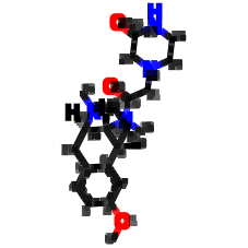 COc1ccc2c(c1)[C@@]1(C)CCN(C)[C@H](C2)[C@@H]1N(C)C(=O)CN1CCNC(=O)C1